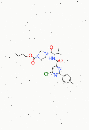 CCCCOC(=O)N1CCN(C(=O)[C@@H](NC(=O)c2cc(Cl)nc(-c3ccc(C)cc3)n2)C(C)C)CC1